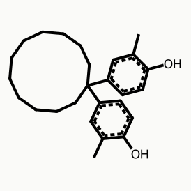 Cc1cc(C2(c3ccc(O)c(C)c3)CCCCCCCCCCC2)ccc1O